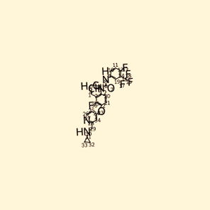 C=Cc1c(N(C)C(=O)Nc2ccc(F)c(C(F)(F)F)c2)ccc(Oc2ccnc(CNC3CC3)c2)c1F